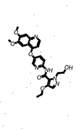 CCOc1cnn(CCO)c1C(=O)Nc1ccc(Oc2ccnc3cc(OC)c(OC)cc23)cn1